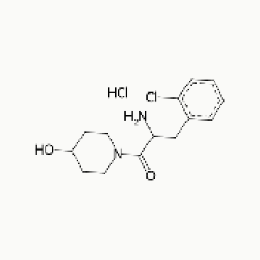 Cl.NC(Cc1ccccc1Cl)C(=O)N1CCC(O)CC1